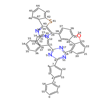 c1ccc(-c2ccc(-c3nc(-c4ccccc4)nc(-c4cccc5oc6ccc(-c7nc(-c8ccccc8)nc8c7sc7ccccc78)cc6c45)n3)cc2)cc1